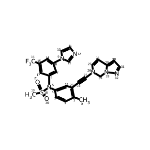 Cc1ccc(N(c2cc(-n3ccnc3)cc(C(F)(F)F)c2)S(C)(=O)=O)cc1C#CN1C=Cc2ccnn2C1